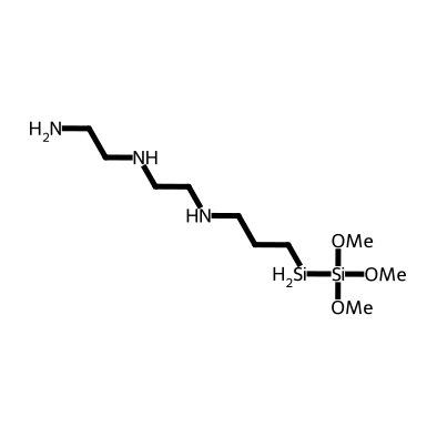 CO[Si](OC)(OC)[SiH2]CCCNCCNCCN